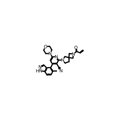 C=CC(=O)N1CC2(CCN(c3nc(N4CCOCC4)cc(-c4c(C)ccc5[nH]ncc45)c3C#N)C2)C1